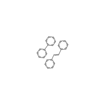 C(=C\c1ccccc1)/c1ccccc1.c1ccc(-c2ccccc2)cc1